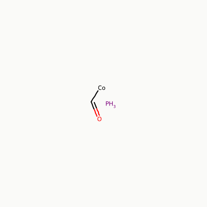 O=[CH][Co].P